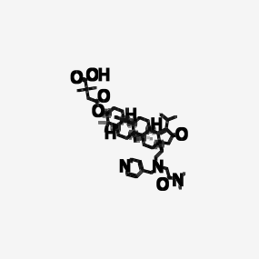 CC(C)C1=C2[C@H]3CC[C@@H]4[C@@]5(C)CC[C@H](OC(=O)CC(C)(C)C(=O)O)C(C)(C)[C@@H]5CC[C@@]4(C)[C@]3(C)CC[C@@]2(CCN(CC(=O)N(C)C)Cc2ccncc2)CC1=O